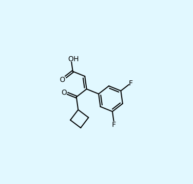 O=C(O)C=C(C(=O)C1CCC1)c1cc(F)cc(F)c1